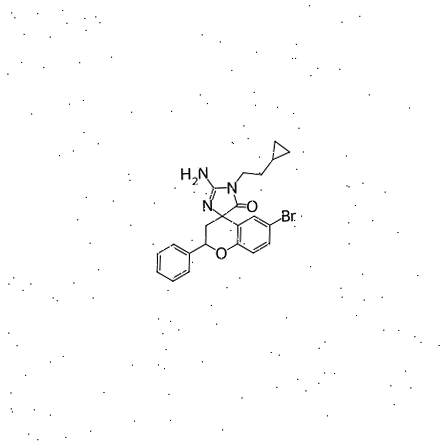 NC1=NC2(CC(c3ccccc3)Oc3ccc(Br)cc32)C(=O)N1CCC1CC1